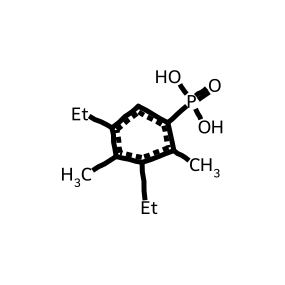 CCc1cc(P(=O)(O)O)c(C)c(CC)c1C